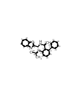 C=C(NCc1nc2ccccc2o1)c1c(/N=C(\C)Cl)cccc1-c1ccccc1